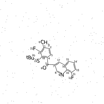 Cc1ccc(C(=O)c2cnc3c(F)cccc3c2)c(SC(C)(C)C)c1F